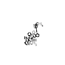 C=C(N[C@@H](C)c1cc2cccc(C#Cc3cnn(C)c3)c2c(=O)n1-c1ccccc1)c1cncc2cccnc12